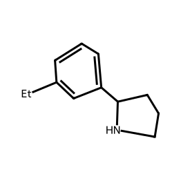 CCc1cccc(C2CCCN2)c1